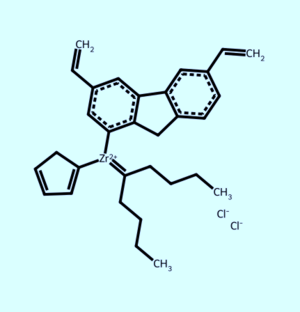 C=Cc1ccc2c(c1)-c1cc(C=C)c[c]([Zr+2]([C]3=CC=CC3)=[C](CCCC)CCCC)c1C2.[Cl-].[Cl-]